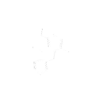 CC(C)Cc1ccc(O)c(Cc2ccccc2)c1CC(C)C